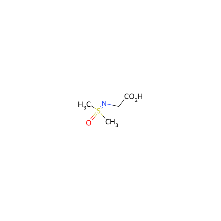 CS(C)(=O)=NCC(=O)O